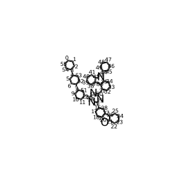 c1ccc(-c2ccc(-c3cccc(-c4nc(-c5ccc6oc7ccccc7c6c5)nc(-c5cccc6c5c5ccccc5n6-c5ccccc5)n4)c3)cc2)cc1